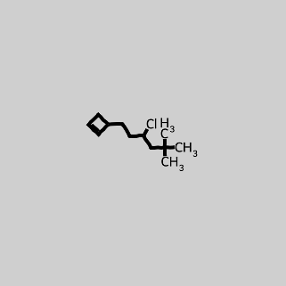 CC(C)(C)CC(Cl)CCC1C=CC1